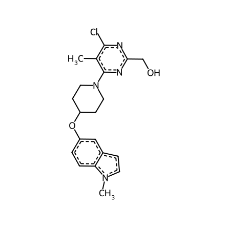 Cc1c(Cl)nc(CO)nc1N1CCC(Oc2ccc3c(ccn3C)c2)CC1